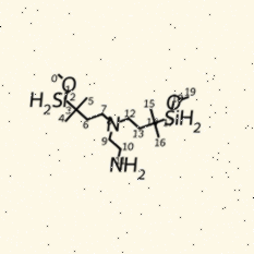 CO[SiH2]C(C)(C)CCN(CCN)CCC(C)(C)[SiH2]OC